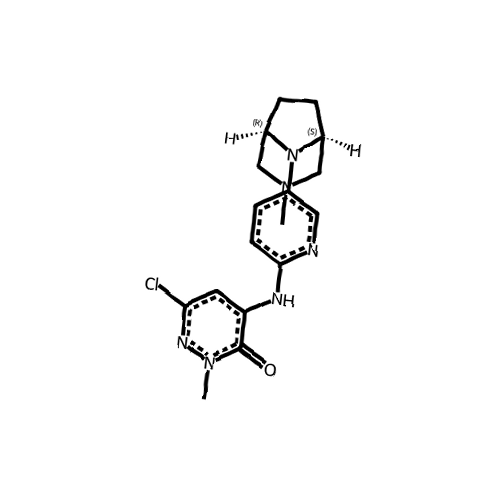 CN1C[C@H]2CC[C@@H](C1)N2c1ccc(Nc2cc(Cl)nn(C)c2=O)nc1